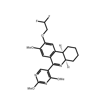 COc1ncc(C2=N[C@@H]3CCCC[C@@H]3c3cc(OCC(F)F)c(OC)cc32)c(OC)n1